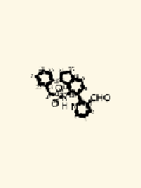 O=Cc1cccnc1-c1ccc2c(c1NS(=O)(=O)Cc1ccccc1)CCC2